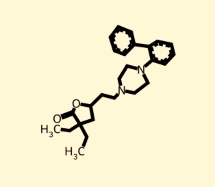 CCC1(CC)CC(CCN2CCN(c3ccccc3-c3ccccc3)CC2)OC1=O